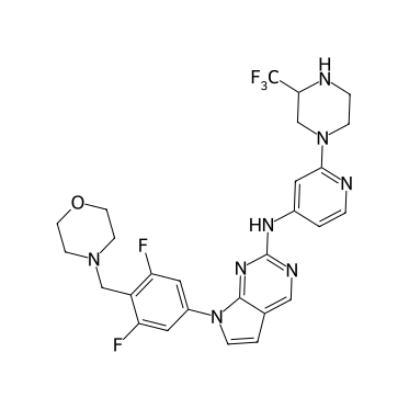 Fc1cc(-n2ccc3cnc(Nc4ccnc(N5CCNC(C(F)(F)F)C5)c4)nc32)cc(F)c1CN1CCOCC1